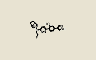 Oc1cc(-c2cn[nH]c2)ccc1-c1ccc(N(CCF)N2CC3CCC(C2)N3)nn1